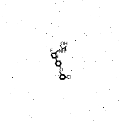 CC(C)[C@H](CO)NCc1nc(-c2ccc(OCc3cccc(Cl)c3)cc2)ccc1F